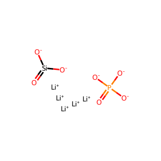 O=P([O-])([O-])[O-].O=[Si]([O-])[O-].[Li+].[Li+].[Li+].[Li+].[Li+]